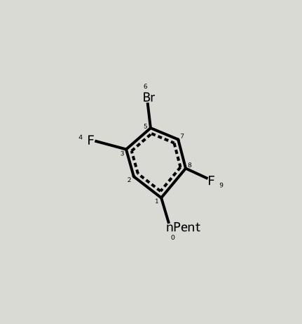 CCCCCc1cc(F)c(Br)cc1F